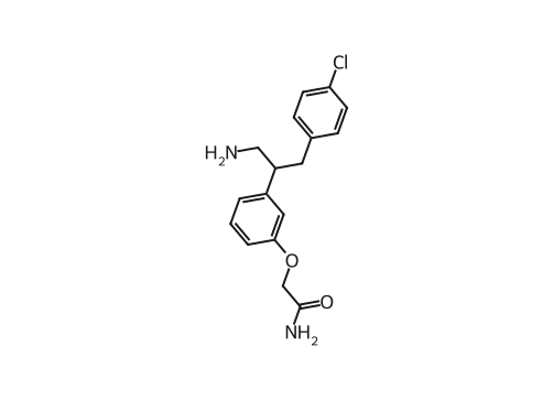 NCC(Cc1ccc(Cl)cc1)c1cccc(OCC(N)=O)c1